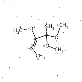 COC(=[SH]C)C([SiH3])(OC)OC